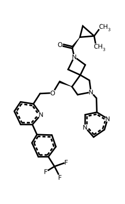 CC1(C)C[C@@H]1C(=O)N1CC2(CN(Cc3cnccn3)C[C@H]2COCc2cccc(-c3ccc(C(F)(F)F)cc3)n2)C1